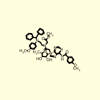 COC(=O)CN(CCN(c1ccc(OC)cc1)C(c1ccccc1)c1ccccc1)C(=O)C[N+]1([C@@H]2O[C@H](C)[C@@H](O)[C@H]2O)C=Nc2c(NC(=O)c3ccc(OC)cc3)ncnc21